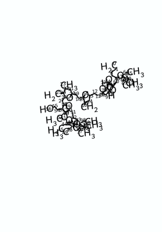 C=CCC1O[C@@H]2C3O[C@@H]4C[C@](CCC5CC(=C)[C@H](CCC6CC(C)C(=C)C(C[C@H]7O[C@H](CC(CO[Si](CC)(CC)CC)O[Si](CC)(CC)CC)[C@H](OC)C7CCO)O6)O5)(OC3C1O[Si](CC)(CC)CC)OC24